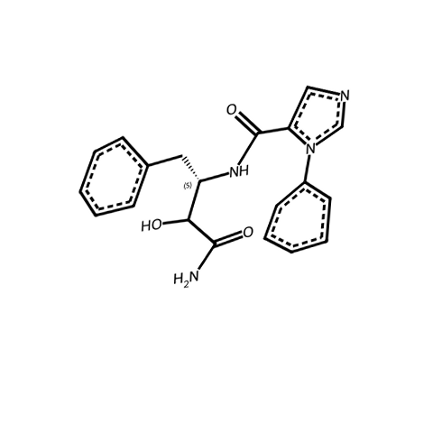 NC(=O)C(O)[C@H](Cc1ccccc1)NC(=O)c1cncn1-c1ccccc1